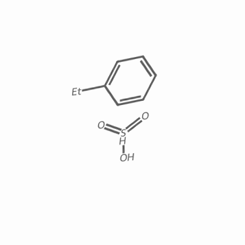 CCc1ccccc1.O=[SH](=O)O